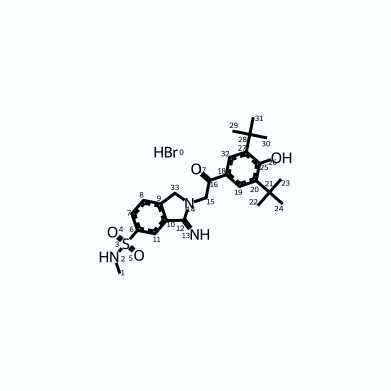 Br.CNS(=O)(=O)c1ccc2c(c1)C(=N)N(CC(=O)c1cc(C(C)(C)C)c(O)c(C(C)(C)C)c1)C2